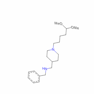 COC(CCCCN1CCC(CNCc2ccccc2)CC1)OC